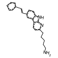 NCCCCCc1ccc2c(n1)[nH]c1ccc(C=Cc3ccccc3)cc12